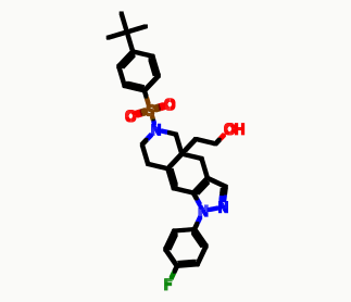 CC(C)(C)c1ccc(S(=O)(=O)N2CCC3=Cc4c(cnn4-c4ccc(F)cc4)CC3(CCO)C2)cc1